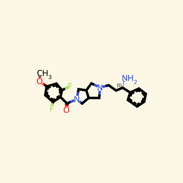 COc1cc(F)c(C(=O)N2CC3CN(CC[C@H](N)c4ccccc4)CC3C2)c(F)c1